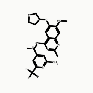 CNc1cc2nc(C)nc(N[C@H](C)c3cc(N)nc(C(F)(F)F)c3)c2cc1OC1CCOC1